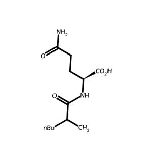 CCCCC(C)C(=O)N[C@@H](CCC(N)=O)C(=O)O